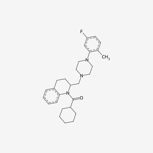 Cc1ccc(F)cc1N1CCN(CC2CCc3ccccc3N2C(=O)C2CCCCC2)CC1